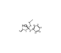 C=CC[Si](O)(CCC)Cc1ccccc1